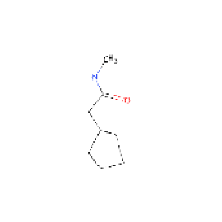 C[N]C(=O)CC1CCCC1